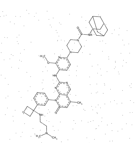 COc1nc(N2CCN(C(=O)NC34CC5CC(CC(C5)C3)C4)CC2)ccc1Nc1ncc2c(C)cc(=O)n(-c3cccc(C4(NCCN(C)C)COC4)c3)c2n1